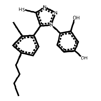 CCCCc1ccc(-c2c(S)nnn2-c2ccc(O)cc2O)c(C)c1